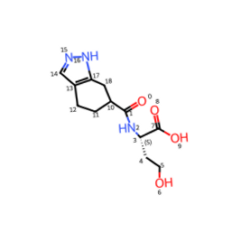 O=C(N[C@@H](CCO)C(=O)O)C1CCc2cn[nH]c2C1